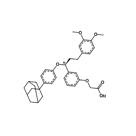 COc1ccc(CC[C@H](Oc2ccc(C34CC5CC(CC(C5)C3)C4)cc2)c2cccc(OCC(=O)O)c2)cc1OC